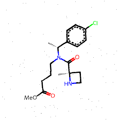 COC(=O)CCCN(C(=O)[C@@]1(C)CCN1)[C@H](C)c1ccc(Cl)cc1